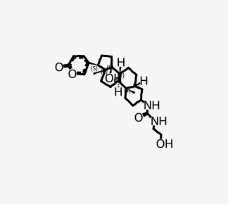 C[C@]12CCC(NC(=O)NCCO)C[C@H]1CC[C@@H]1[C@@H]2CC[C@]2(C)[C@@H](c3ccc(=O)oc3)CC[C@]12O